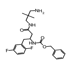 CC(C)(CN)CNC(=O)CC(Cc1cc(F)ccc1F)NC(=O)OCc1ccccc1